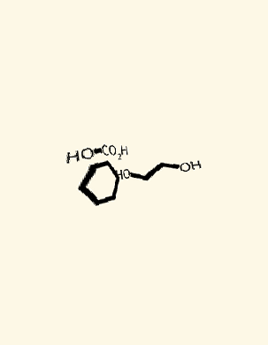 C1CCCCC1.O=C(O)O.OCCO